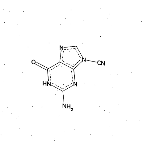 N#Cn1cnc2c(=O)[nH]c(N)nc21